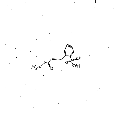 COC(=O)C=Cc1ccccc1S(=O)(=O)O